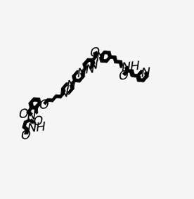 O=C(/C=C/c1cccnc1)NCCCCC1CCN(C(=O)c2ccc(N3CCC(N4CCN(CCCCOc5cccc6c5CN(C5CCC(=O)NC5=O)C6=O)CC4)CC3)nn2)CC1